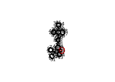 C1=CC=C(C2(c3ccccc3)c3cccc4oc5cc(-c6ccc(-c7c8ccccc8c(-c8ccccc8)c8ccccc78)cc6)cc2c5c34)CC=1